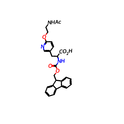 CC(=O)NCCOc1ccc(CC(NC(=O)OCC2c3ccccc3-c3ccccc32)C(=O)O)cn1